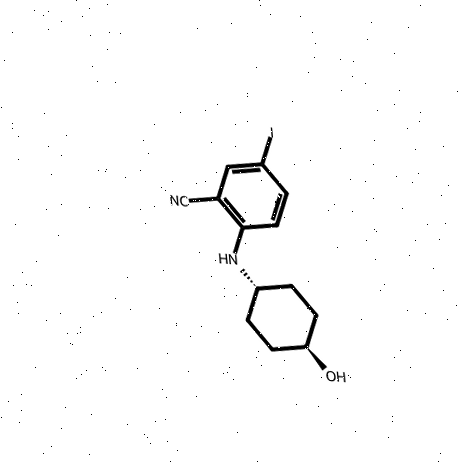 N#Cc1cc(I)ccc1N[C@H]1CC[C@H](O)CC1